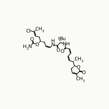 CC1=CC[C@@H]([C@@H](C)/C=C\C=C/C(=O)N[C@H](C(=O)N/C=C\C[C@H](C/C=C(\C)Cl)OC(N)=O)C(C)(C)C)OC1=O